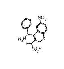 NN(C1=C(C(I)C(=O)O)CSc2ccc([N+](=O)[O-])cc21)c1ccccc1